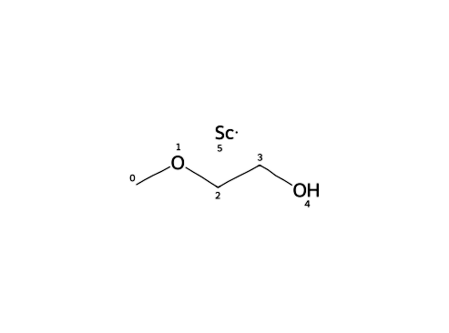 COCCO.[Sc]